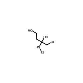 CCNC(O)(CO)CCO